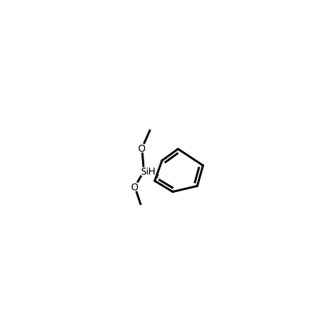 CO[SiH2]OC.c1ccccc1